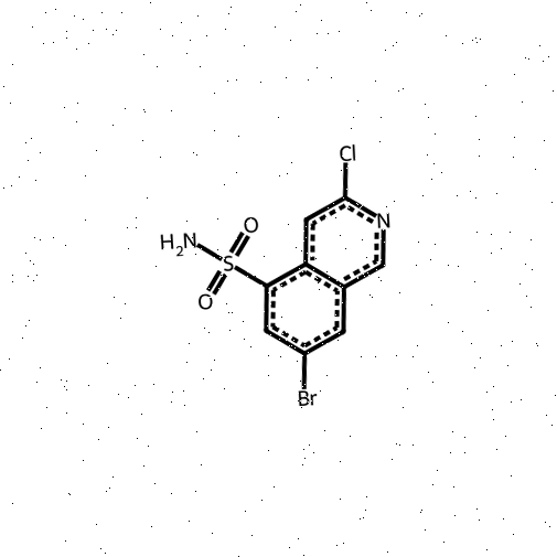 NS(=O)(=O)c1cc(Br)cc2cnc(Cl)cc12